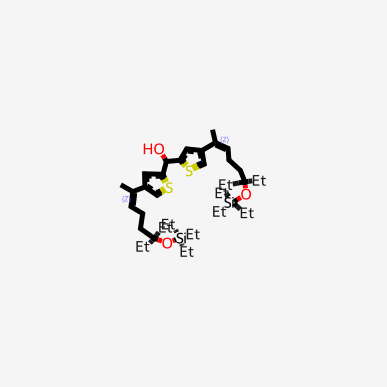 CCC(CC)(CC/C=C(/C)c1csc(C(O)c2cc(/C(C)=C\CCC(CC)(CC)O[Si](CC)(CC)CC)cs2)c1)O[Si](CC)(CC)CC